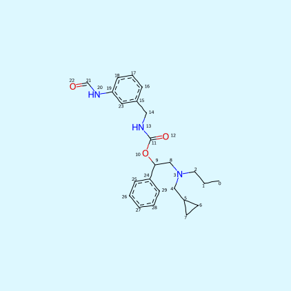 CCCN(CC1CC1)CC(OC(=O)NCc1cccc(NC=O)c1)c1ccccc1